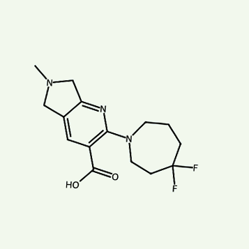 CN1Cc2cc(C(=O)O)c(N3CCCC(F)(F)CC3)nc2C1